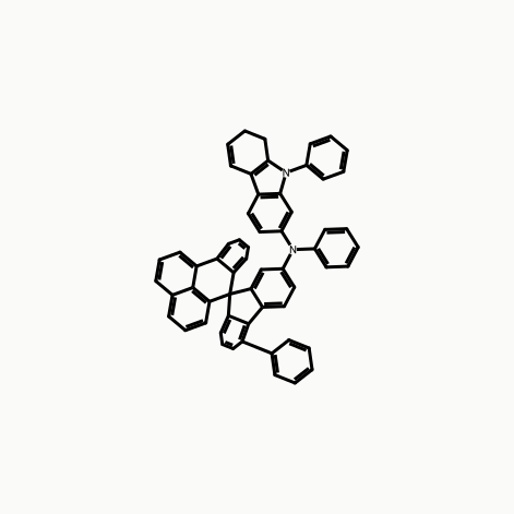 C1=Cc2c(n(-c3ccccc3)c3cc(N(c4ccccc4)c4ccc5c(c4)C4(c6ccccc6-c6cccc7cccc4c67)c4cccc(-c6ccccc6)c4-5)ccc23)CC1